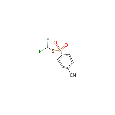 N#Cc1ccc(S(=O)(=O)SC(F)F)cc1